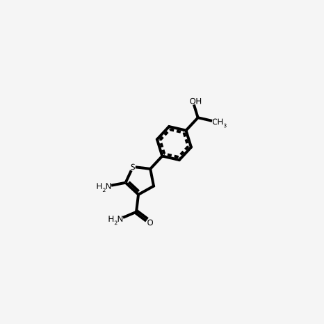 CC(O)c1ccc(C2CC(C(N)=O)=C(N)S2)cc1